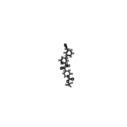 CC(C)(C)OC(=O)N1CCC(C(=O)Nc2cc(-c3cccc(C#N)c3)ccn2)CC1